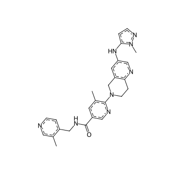 Cc1cnccc1CNC(=O)c1cnc(N2CCc3ncc(Nc4ccnn4C)cc3C2)c(C)c1